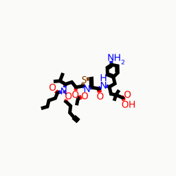 C#CCCCON(C(=O)CCCC)C(CC(OC(C)=O)c1nc(C(=O)NC(Cc2ccc(N)cc2)CC(C)(C)C(=O)O)cs1)C(C)C